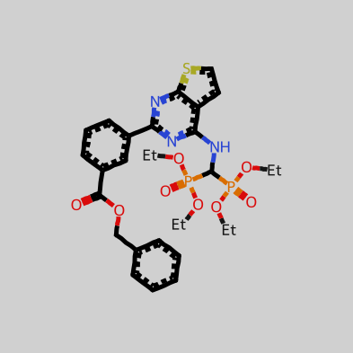 CCOP(=O)(OCC)C(Nc1nc(-c2cccc(C(=O)OCc3ccccc3)c2)nc2sccc12)P(=O)(OCC)OCC